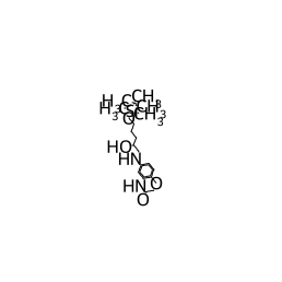 CC(C)(C)[Si](C)(C)OCCCC(O)CNc1ccc2c(c1)NC(=O)CO2